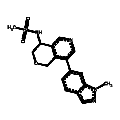 Cn1ncc2ccc(-c3cncc4c3COCC4NS(C)(=O)=O)cc21